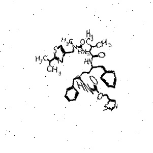 CC(C)c1nc(CN(C)C(=O)N[C@H](C(=O)NC(CC[C@H](Cc2ccccc2)NC(=O)OCc2cncs2)Cc2ccccc2)C(C)C)cs1